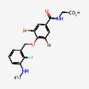 CCC(C)Nc1cccc(COc2c(Br)cc(C(=O)NCC(=O)O)cc2Br)c1F